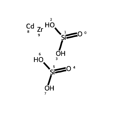 O=[Si](O)O.O=[Si](O)O.[Cd].[Zr]